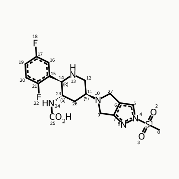 CS(=O)(=O)n1cc2c(n1)CN([C@@H]1CN[C@H](c3cc(F)ccc3F)[C@@H](NC(=O)O)C1)C2